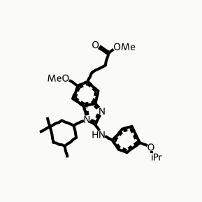 COC(=O)CCc1cc2nc(Nc3ccc(OC(C)C)cc3)n(C3CC(C)CC(C)(C)C3)c2cc1OC